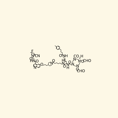 Cc1ccc(CCCC(=O)NCCSCC(NC(=O)CN2CCN(COC=O)CCN(COC=O)CCN(CC(=O)O)CC2)C(=O)NCCCCCC(=O)N2CCC(CCCOc3ccc4nccc(C(=O)NCC(=O)N5CC(C)(F)C[C@@H]5C#N)c4c3)CC2)cc1